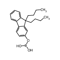 CCCCC1(CCCC)c2ccccc2-c2ccc(OB(O)O)cc21